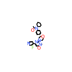 CC(=O)N(c1ccc([C@H]2CN(c3nc(-c4ccncc4F)cc(=O)n3C)CCO2)cc1)C1CCCCC1